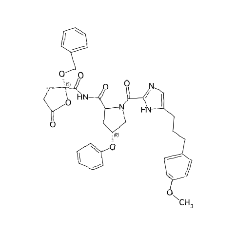 COc1ccc(CCCc2cnc(C(=O)N3C[C@H](Oc4ccccc4)CC3C(=O)NC(=O)[C@]3(OCc4ccccc4)[CH]CC(=O)O3)[nH]2)cc1